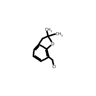 CC1(C)Cc2cccc(CCl)c2O1